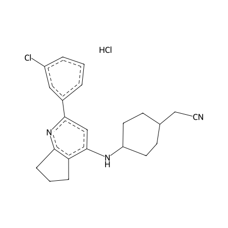 Cl.N#CCC1CCC(Nc2cc(-c3cccc(Cl)c3)nc3c2CCC3)CC1